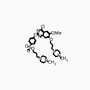 COc1cc2c(Cl)ncnc2cc1OCCCN1CCN(C)CC1.Cc1ccc(S(=O)(=O)OCCCN2CCN(C)CC2)cc1